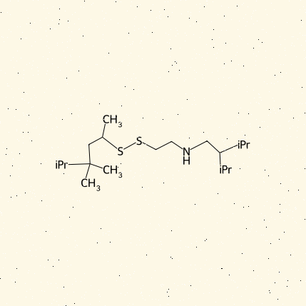 CC(CC(C)(C)C(C)C)SSCCNCC(C(C)C)C(C)C